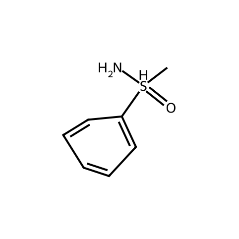 C[SH](N)(=O)c1ccccc1